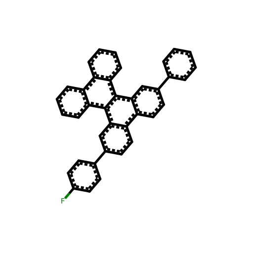 Fc1ccc(-c2ccc3c4ccc(-c5ccccc5)cc4c4c5ccccc5c5ccccc5c4c3c2)cc1